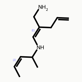 C=CC/C(=C\NC(C)/C=C\C)CN